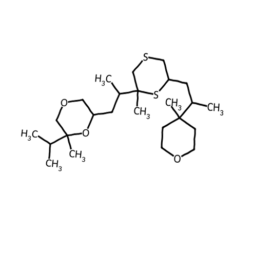 CC(CC1CSCC(C)(C(C)CC2COCC(C)(C(C)C)O2)S1)C1(C)CCOCC1